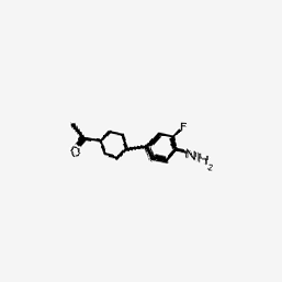 CC(=O)C1CCC(c2ccc(N)c(F)c2)CC1